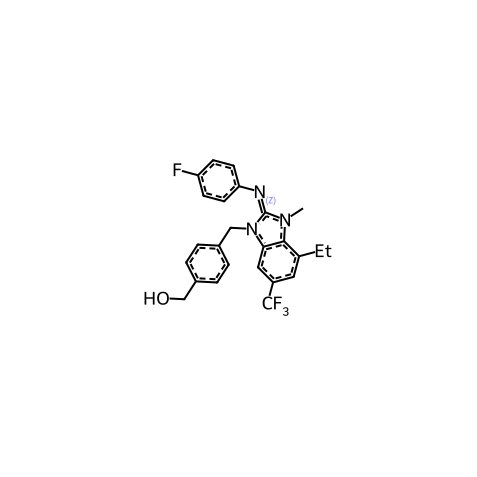 CCc1cc(C(F)(F)F)cc2c1n(C)/c(=N/c1ccc(F)cc1)n2Cc1ccc(CO)cc1